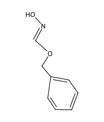 ON=COCc1ccccc1